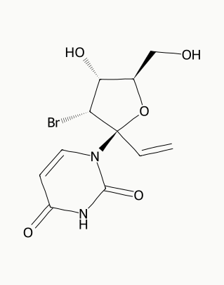 C=C[C@@]1(n2ccc(=O)[nH]c2=O)O[C@H](CO)[C@@H](O)[C@H]1Br